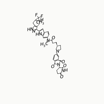 CN(C(=O)CC[C@H]1CCN(c2ccc3c(c2)C(=O)N(C2CCC(=O)NC2=O)C3=O)C1)c1ccc2cc(-c3n[nH]c4c3C[C@@H]3C(F)(F)[C@]3(C)C4)[nH]c2c1